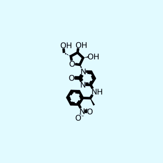 C[C@H](Nc1ccn([C@@H]2O[C@H](CO)C(O)[C@@H]2O)c(=O)n1)c1ccccc1[N+](=O)[O-]